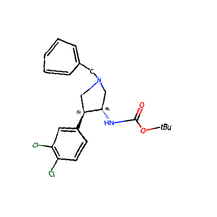 CC(C)(C)OC(=O)N[C@H]1CN(Cc2ccccc2)C[C@@H]1c1ccc(Cl)c(Cl)c1